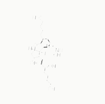 CCCCCc1cccc2c1O[C@H]1C[C@@H](O)[C@H](C=C[C@@H](O)CCCCC)[C@@H]21.CNC